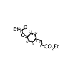 CCOC(=O)C=Cc1ccc(OC(=O)CC)cc1